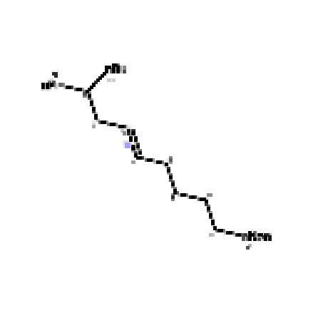 [CH2]CCCCCCCCCCCC/C=C/CC(CCC)CCC[CH2]